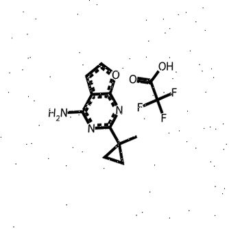 CC1(c2nc(N)c3ccoc3n2)CC1.O=C(O)C(F)(F)F